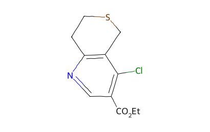 CCOC(=O)c1cnc2c(c1Cl)CSCC2